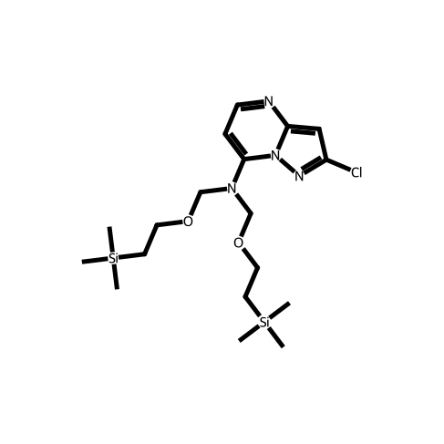 C[Si](C)(C)CCOCN(COCC[Si](C)(C)C)c1ccnc2cc(Cl)nn12